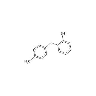 Cc1ccc(Cc2ccccc2S)cc1